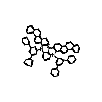 O=P12c3ccc4c(ccc5c6ccccc6ccc45)c3N(c3cc(-c4ccccc4)cc(-c4ccccc4)c3)c3cccc(c31)N(c1cc(-c3ccccc3)cc(-c3ccccc3)c1)c1c2ccc2c1ccc1c3ccccc3ccc21